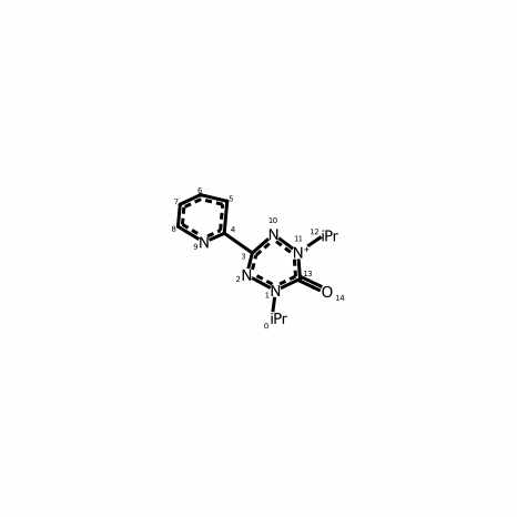 CC(C)n1nc(-c2ccccn2)n[n+](C(C)C)c1=O